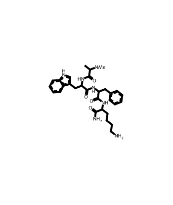 CNC(C)C(=O)NC(Cc1c[nH]c2ccccc12)C(=O)NC(Cc1ccccc1)C(=O)NC(CCCCN)C(N)=O